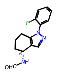 O=CN[C@@H]1CCCc2c1cnn2-c1ccccc1F